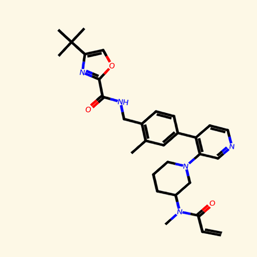 C=CC(=O)N(C)C1CCCN(c2cnccc2-c2ccc(CNC(=O)c3nc(C(C)(C)C)co3)c(C)c2)C1